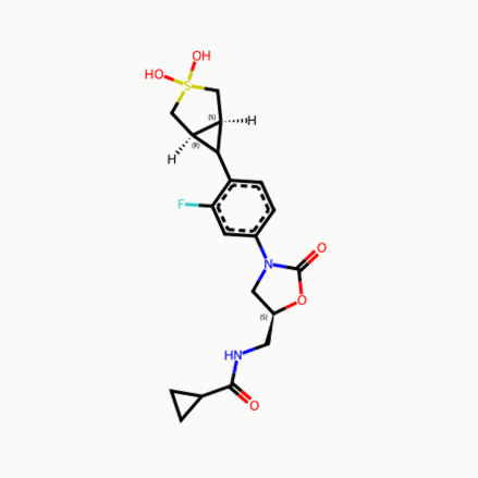 O=C(NC[C@H]1CN(c2ccc(C3[C@H]4CS(O)(O)C[C@@H]34)c(F)c2)C(=O)O1)C1CC1